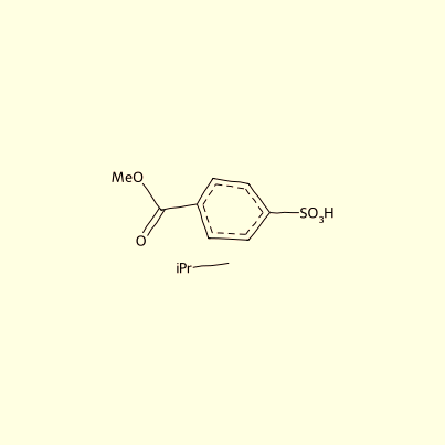 CC(C)C.COC(=O)c1ccc(S(=O)(=O)O)cc1